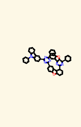 c1ccc(-c2nc(-c3ccc4oc5cccc(-c6nc(-c7ccccc7)c7oc8ccccc8c7n6)c5c4c3)nc(-c3ccc4c(c3)c3ccccc3n4-c3ccccc3)n2)cc1